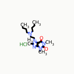 CCCCN(CCCC)CCn1c(C)nc2c1c(=O)n(C)c(=O)n2C.Cl